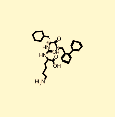 NCCCCC(NC(=O)N[C@H](CC1CCCCC1)C(=O)NCc1ccccc1-c1ccccc1)C(=O)O